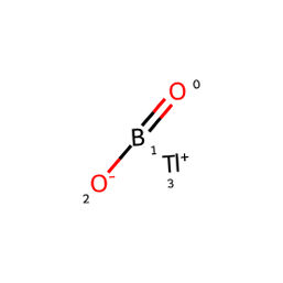 O=B[O-].[Tl+]